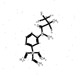 C=C[Si](C=C)(C=C)c1cccc(N(C)C(=O)C(C)(F)C(F)(F)F)c1